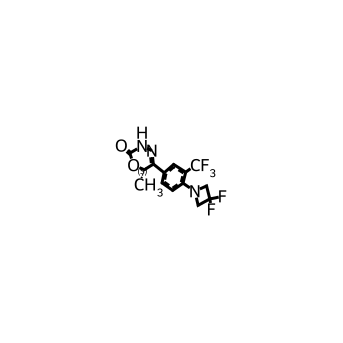 C[C@@H]1OC(=O)NN=C1c1ccc(N2CC(F)(F)C2)c(C(F)(F)F)c1